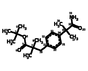 CC(C)(C)OC(=O)C(C)(C)Cc1ccc(C(C)(C)C(N)=O)cc1